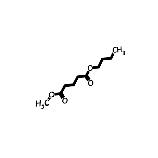 CCCCOC(=O)CCCC(=O)OC